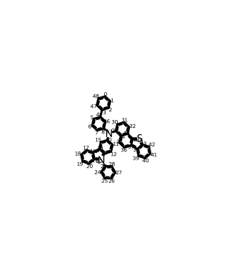 c1ccc(-c2cccc(N(c3ccc4c(c3)c3ccccc3n4-c3ccccc3)c3cccc4c3ccc3c5ccccc5sc43)c2)cc1